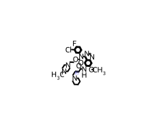 COc1cc2ncnc(N(C(=O)OCCN3CCN(C)CC3)c3ccc(F)c(Cl)c3)c2cc1NC(=O)/C=C/CN1CCCCC1